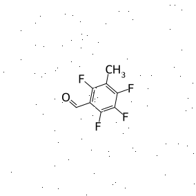 Cc1c(F)c(F)c(F)c(C=O)c1F